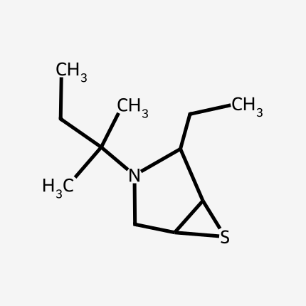 CCC1C2SC2CN1C(C)(C)CC